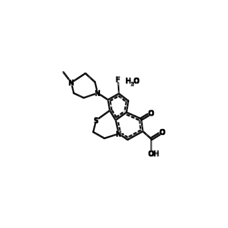 CN1CCN(c2c(F)cc3c(=O)c(C(=O)O)cn4c3c2SCC4)CC1.O